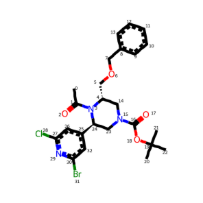 CC(=O)N1[C@H](COCc2ccccc2)CN(C(=O)OC(C)(C)C)C[C@H]1c1cc(Cl)nc(Br)c1